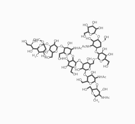 CC(=O)NC1[C@H](O[C@@H]2C(CO)O[C@@H](C)C(NC(C)=O)[C@H]2O)OC(CO)[C@@H](O[C@@H]2OC(CO[C@H]3OC(CO)[C@@H](O)[C@H](O)C3O[C@@H]3C[C@@H](CO)[C@@H](O[C@@H]4OC(CO)[C@H](O)[C@H](O)C4O)C(O)C3NC(C)=O)[C@@H](O)[C@H](O[C@H]3OC(CO)[C@@H](O)C(O)C3O[C@@H]3OC(CO)[C@@H](O[C@@H]4OC(CO)[C@H](O)[C@H](O[C@]5(OC=O)C[C@@H](O)[C@@H](C)C([C@H](O)[C@H](O)CO)O5)C4O)[C@H](O)C3NC(C)=O)C2O)[C@@H]1O